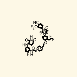 CC1(C)C(=O)N(c2ccc(C#N)c(C(F)(F)F)c2)C(=S)N1c1ccc(OCCN2CCN(CC(=O)Nc3cc(NC4CCC(=O)NC4=O)ccc3F)CC2)c(CC(F)F)c1